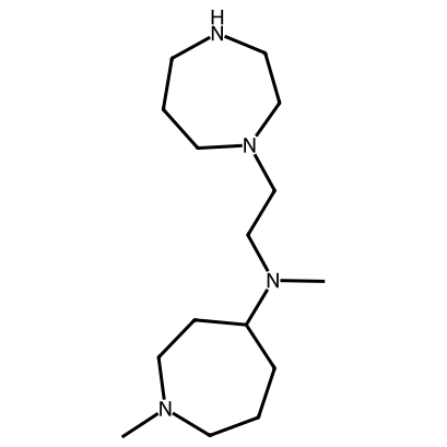 CN1CCCC(N(C)CCN2CCCNCC2)CC1